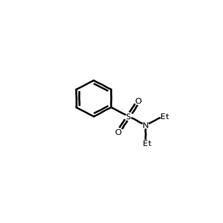 [CH2]CN(C[CH2])S(=O)(=O)c1ccccc1